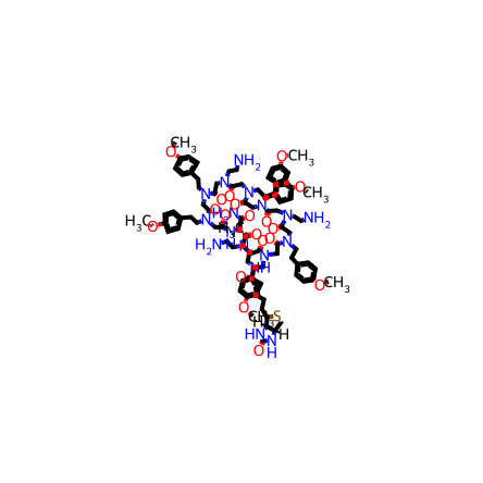 COc1ccc(CCN(CC(=O)N[C@@H](CCCCNC(=O)CCCCC2SC[C@@H]3NC(=O)N[C@H]23)C(N)=O)C(=O)CN(CCc2ccc(OC)cc2)C(=O)CN(CCN)C(=O)CN(CCc2ccc(OC)cc2)C(=O)CN(CCc2ccc(OC)cc2)C(=O)CN(CCN)C(=O)CN(CCc2ccc(OC)cc2)C(=O)CN(CCc2ccc(OC)cc2)C(=O)CN(CCN)C(C)=O)cc1